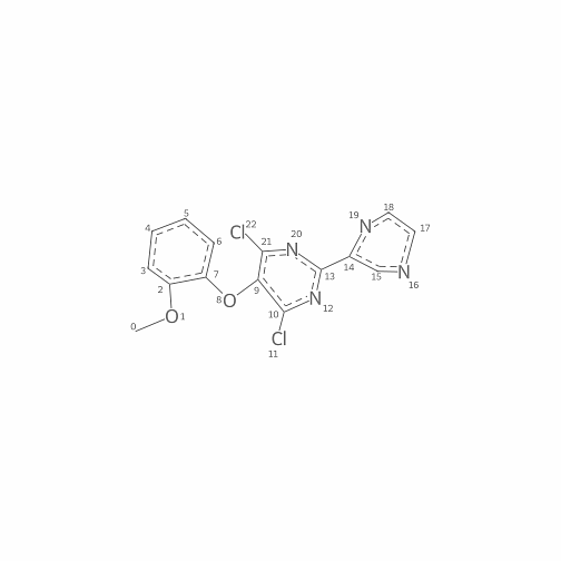 COc1ccccc1Oc1c(Cl)nc(-c2cnccn2)nc1Cl